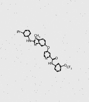 CC(C)c1cccc(Nc2nc3cc(Oc4ccnc(C(=O)Nc5cccc(OC(F)(F)F)c5)c4)ccc3n2C)c1